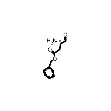 N[C@H](C=O)CC(=O)OCc1ccccc1